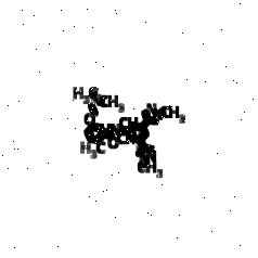 Cc1ccc(OCCN(C)C)cc1C(=O)NC(C)(C)c1cc(-c2cnn(C)c2)cc(-c2cnn(C)c2)c1